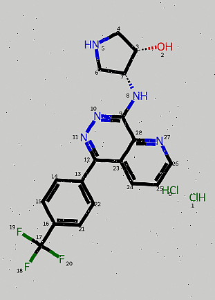 Cl.Cl.O[C@H]1CNC[C@H]1Nc1nnc(-c2ccc(C(F)(F)F)cc2)c2cccnc12